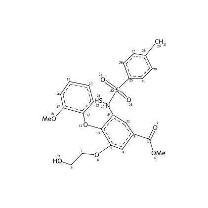 COC(=O)c1cc(OCCO)c(Oc2ccccc2OC)c(N(S)S(=O)(=O)c2ccc(C)cc2)c1